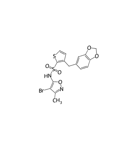 Cc1noc(NS(=O)(=O)c2sccc2Cc2ccc3c(c2)OCO3)c1Br